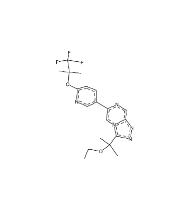 CCOC(C)(C)c1nnc2cnc(-c3ccc(OC(C)(C)C(F)(F)F)nc3)cn12